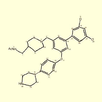 CC(=O)NCC1CCN(Cc2cc(Oc3ccc(N4CCNCC4)nn3)nc(-c3cc(Cl)cc(Cl)c3)c2)CC1